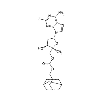 C[C@]1(COC(=O)OCC23CC4CC(CC(C4)C2)C3)O[C@@H](n2cnc3c(N)nc(F)nc32)C[C@@H]1O